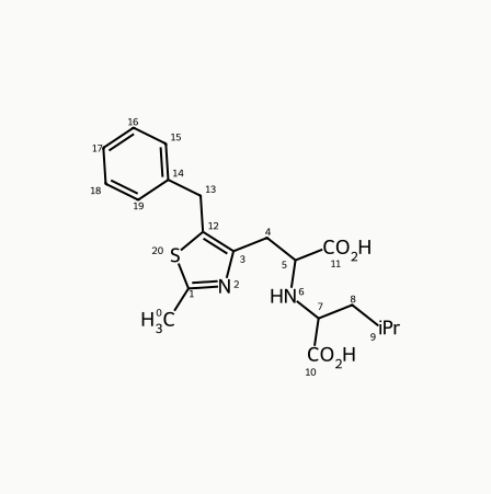 Cc1nc(CC(NC(CC(C)C)C(=O)O)C(=O)O)c(Cc2ccccc2)s1